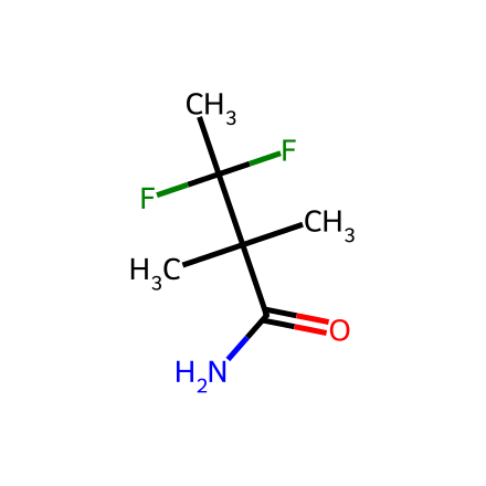 CC(F)(F)C(C)(C)C(N)=O